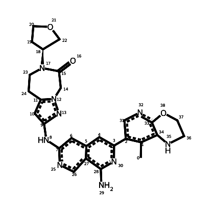 Cc1c(-c2cc3cc(Nc4cc5n(n4)CC(=O)N([C@H]4CCOC4)CC5)ncc3c(N)n2)cnc2c1NCCO2